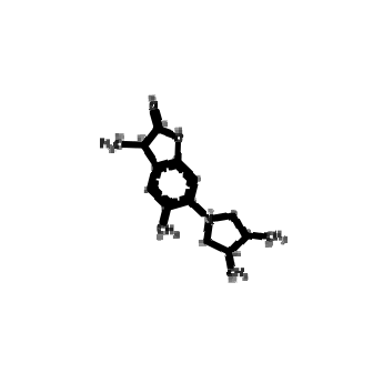 Cc1cc2c(cc1N1CC(C)C(C)C1)OC(=O)C2C